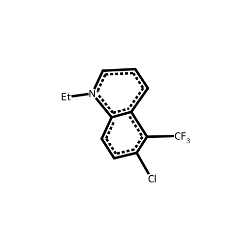 CC[n+]1cccc2c(C(F)(F)F)c(Cl)ccc21